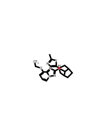 Cc1ncc(N2CC3CCC(C2)C3Nc2nc3c(OCC(F)(F)F)cccn3n2)s1